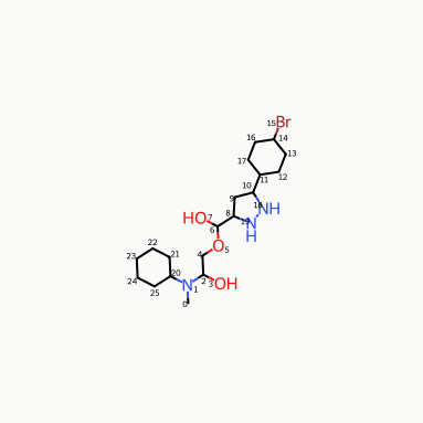 CN(C(O)COC(O)C1CC(C2CCC(Br)CC2)NN1)C1CCCCC1